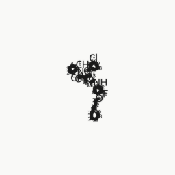 Cc1cccc(C)c1NC(=O)c1cnc(Nc2ccc(OCCCN3CCCCC3)c(F)c2)nc1Oc1cccc(Cl)c1